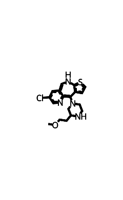 COCCC1CN(C2=c3ncc(Cl)cc3=CNc3sccc32)CCN1